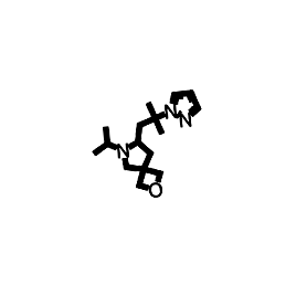 CC(C)N1CC2(COC2)CC1CC(C)(C)n1cccn1